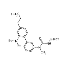 CCCCCCCNC(=O)N(C)c1cccc(-c2ccc(CCC(=O)O)cc2N(CC)CC)c1